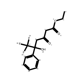 CCOC(=O)CC(=O)CC(O)(c1ccccc1)C(F)(F)F